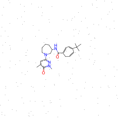 Cc1cc(N2CCCCC(NC(=O)C3=CC=C(C(C)(C)C)C=CC3)C2)nn(C)c1=O